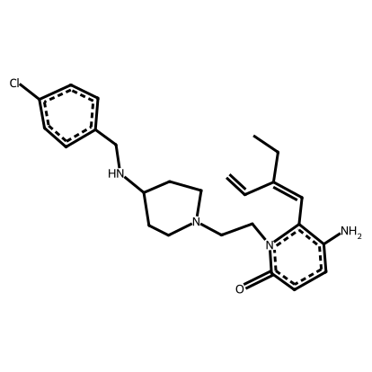 C=C/C(=C\c1c(N)ccc(=O)n1CCN1CCC(NCc2ccc(Cl)cc2)CC1)CC